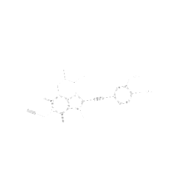 C#CCn1c(=O)c2c(nc(C#Cc3ccc(OC)c(OC)c3)n2C)n(CC(C)CO)c1=O